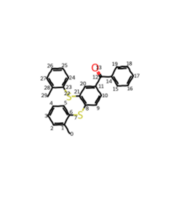 Cc1ccccc1Sc1ccc(C(=O)c2ccccc2)cc1Sc1ccccc1C